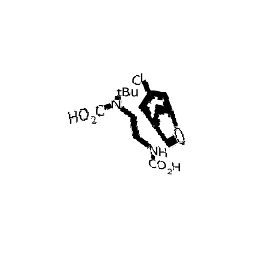 CC(C)(C)N(CCNC(=O)O)C(=O)O.Clc1cc2cc(c1)OC2